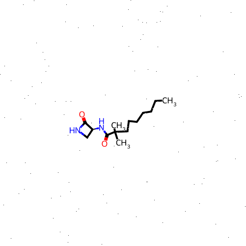 CCCCCCCC(C)(C)C(=O)N[C@H]1CNC1=O